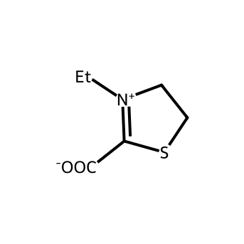 CC[N+]1=C(C(=O)[O-])SCC1